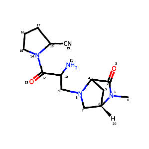 CN1C(=O)C2C[C@H]1CN2CC(N)C(=O)N1CCCC1C#N